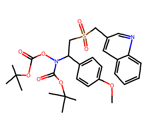 COc1ccc(C(CS(=O)(=O)Cc2cnc3ccccc3c2)N(OC(=O)OC(C)(C)C)C(=O)OC(C)(C)C)cc1